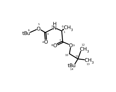 C[C@H](NC(=O)OC(C)(C)C)C(=O)OCC(C)(C)C(C)(C)C